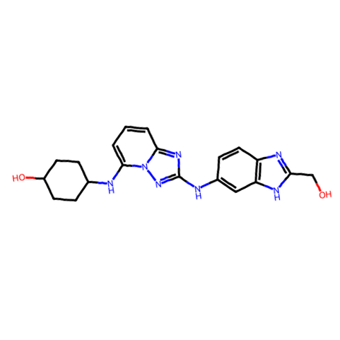 OCc1nc2ccc(Nc3nc4cccc(NC5CCC(O)CC5)n4n3)cc2[nH]1